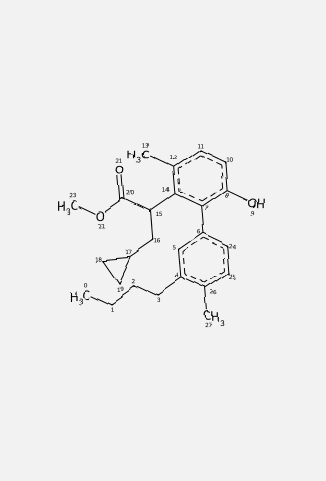 CCCCc1cc(-c2c(O)ccc(C)c2C(CC2CC2)C(=O)OC)ccc1C